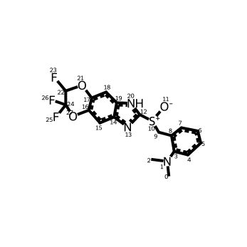 CN(C)c1ccccc1C[S+]([O-])c1nc2cc3c(cc2[nH]1)OC(F)C(F)(F)O3